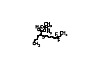 CCCCC(SCCCCC(F)(F)CC)C(=O)OC(C)(C)C